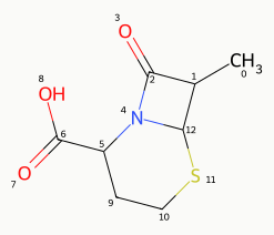 CC1C(=O)N2C(C(=O)O)CCSC12